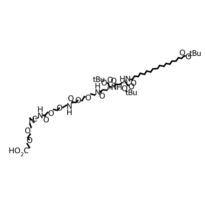 CC(C)(C)OC(=O)CCCCCCCCCCCCCCCCC(=O)N[C@@H](CCC(=O)N[C@@H](CCC(=O)NCCOCCOCC(=O)NCCOCCOCC(=O)NCC[N+](C)(C)CCOCCOCCC(=O)O)C(=O)OC(C)(C)C)C(=O)OC(C)(C)C